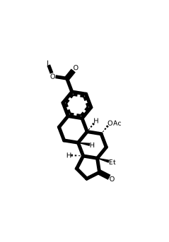 CC[C@]12C[C@@H](OC(C)=O)[C@@H]3c4ccc(C(=O)OI)cc4CC[C@H]3[C@@H]1CCC2=O